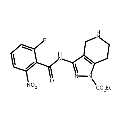 CCOC(=O)n1nc(NC(=O)c2c(F)cccc2[N+](=O)[O-])c2c1CCNC2